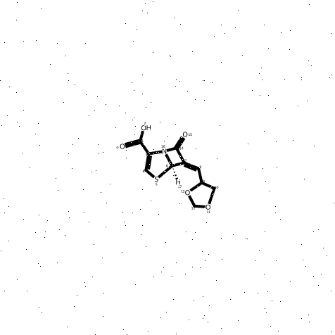 O=C(O)C1=CS[C@@H]2C(=CC3COCO3)C(=O)N12